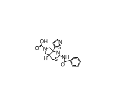 O=C(NC1=N[C@@]2(c3ccns3)CN(C(=O)O)C[C@H]2CS1)c1ccccc1